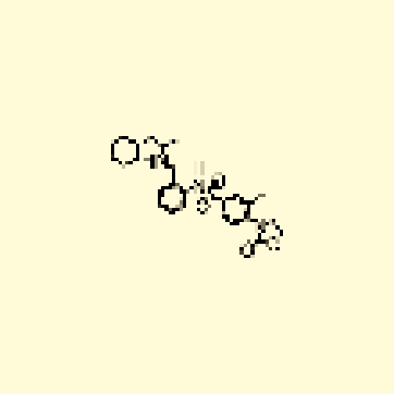 CC(CC1CCCCC1)NCc1ccccc1NS(=O)(=O)c1ccc(N2CCOC2=O)c(F)c1